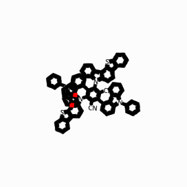 N#Cc1c(-c2cccc3c2c2ccccc2n3-c2ccccc2)c(C#N)c(-n2c3ccccc3c3c4sc5ccccc5c4ccc32)c(-c2cccc3c2c2ccccc2n3-c2ccccc2)c1-n1c2ccccc2c2c3sc4ccccc4c3ccc21